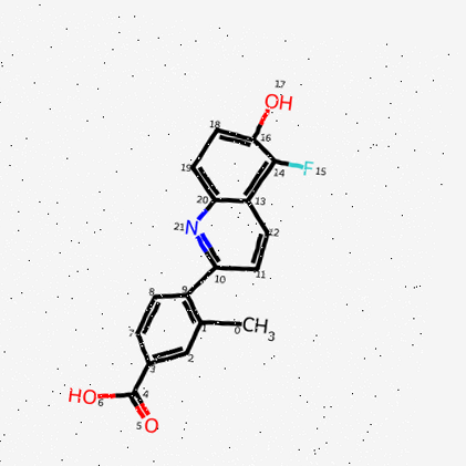 Cc1cc(C(=O)O)ccc1-c1ccc2c(F)c(O)ccc2n1